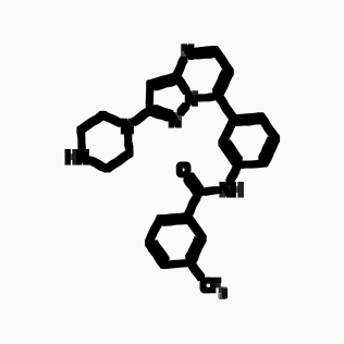 O=C(Nc1cccc(-c2ccnc3cc(N4CCNCC4)nn23)c1)c1cccc(C(F)(F)F)c1